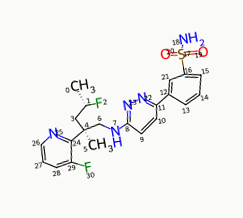 C[C@H](F)C[C@@](C)(CNc1ccc(-c2cccc(S(N)(=O)=O)c2)nn1)c1ncccc1F